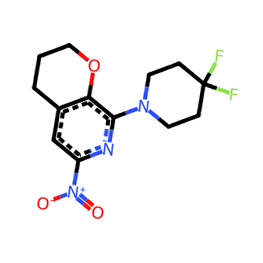 O=[N+]([O-])c1cc2c(c(N3CCC(F)(F)CC3)n1)OCCC2